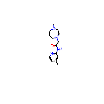 Cc1ccnc(NC(=O)CN2CCCN(C)CC2)c1